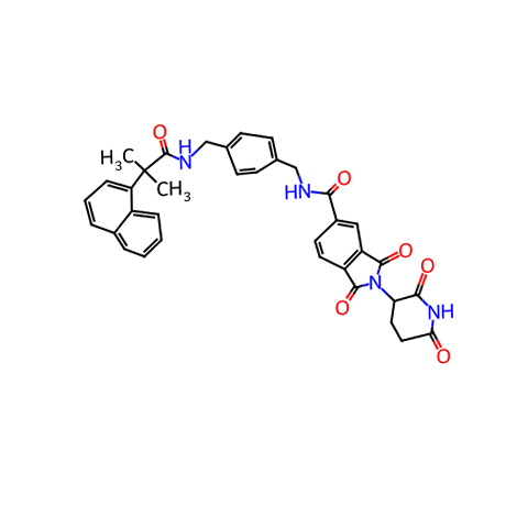 CC(C)(C(=O)NCc1ccc(CNC(=O)c2ccc3c(c2)C(=O)N(C2CCC(=O)NC2=O)C3=O)cc1)c1cccc2ccccc12